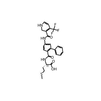 CSCC[C@H](NC(=O)c1ccc(NC(=O)C2=C(C(F)(F)F)C=CNC2)cc1-c1ccccc1)C(=O)O